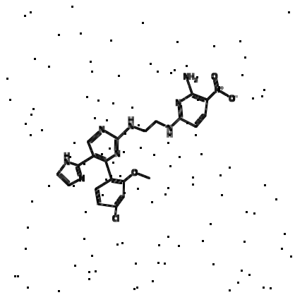 COc1cc(Cl)ccc1-c1nc(NCCNc2ccc([N+](=O)[O-])c(N)n2)ncc1-c1ncc[nH]1